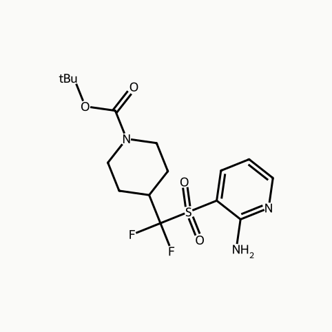 CC(C)(C)OC(=O)N1CCC(C(F)(F)S(=O)(=O)c2cccnc2N)CC1